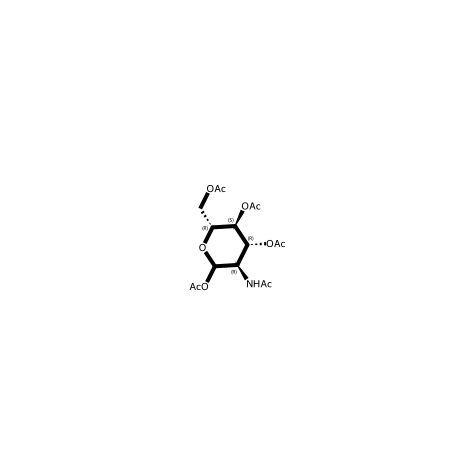 CC(=O)N[C@H]1C(OC(C)=O)O[C@H](COC(C)=O)[C@@H](OC(C)=O)[C@@H]1OC(C)=O